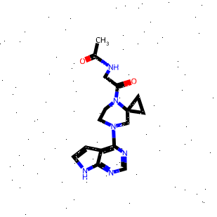 CC(=O)NCC(=O)N1CCN(c2ncnc3[nH]ccc23)CC12CC2